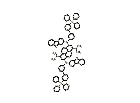 CC(C)c1cc(N(c2cccc(-c3cccc([Si](c4ccccc4)(c4ccccc4)c4ccccc4)c3)c2)c2ccc3c(c2)oc2ccccc23)c2ccc3c(C(C)C)cc(N(c4cccc(-c5cccc([Si](c6ccccc6)(c6ccccc6)c6ccccc6)c5)c4)c4ccc5c(c4)oc4ccccc45)c4ccc1c2c34